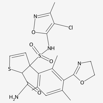 Cc1cc(C)c(C2(S(=O)(=O)Nc3onc(C)c3Cl)C=CSC2C(N)=O)c(C)c1C1=NCCO1